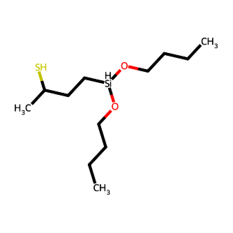 CCCCO[SiH](CCC(C)S)OCCCC